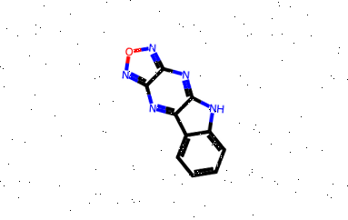 c1ccc2c(c1)[nH]c1nc3nonc3nc12